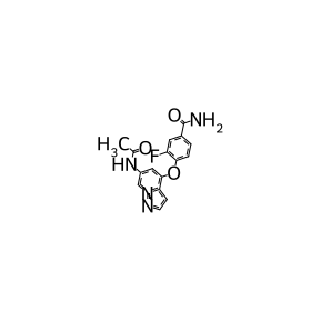 CC(=O)Nc1cc(Oc2ccc(C(N)=O)cc2F)c2ccnn2c1